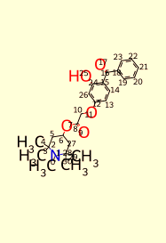 CN1C(C)(C)CC(OC(=O)COc2ccc(C(=O)c3ccccc3)c(O)c2)CC1(C)C